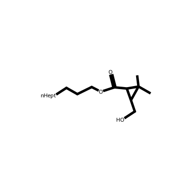 CCCCCCCCCCOC(=O)C1C(CO)C1(C)C